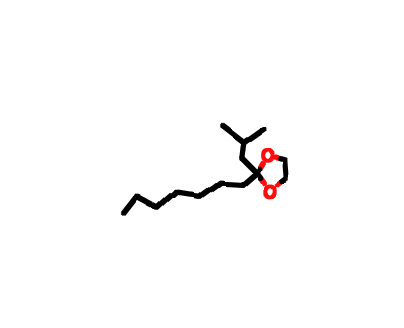 CCCCCCCC1(CC(C)C)OCCO1